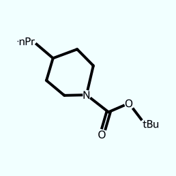 CC[CH]C1CCN(C(=O)OC(C)(C)C)CC1